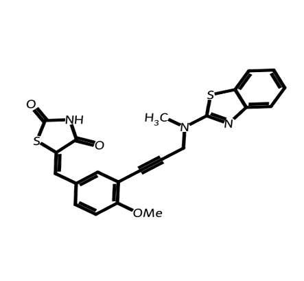 COc1ccc(C=C2SC(=O)NC2=O)cc1C#CCN(C)c1nc2ccccc2s1